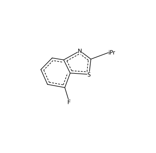 CC(C)c1nc2cccc(F)c2s1